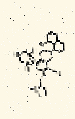 CN1CCCC1COc1nc(N2[C@@H]3CC[C@H]2CNC3)c2c(c1C#N)CN(c1cccc3cccc(Br)c13)CC2